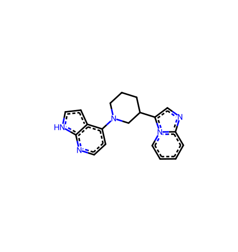 c1ccn2c(C3CCCN(c4ccnc5[nH]ccc45)C3)cnc2c1